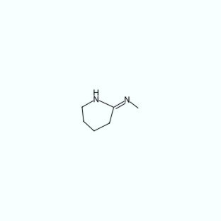 CN=C1CCCCN1